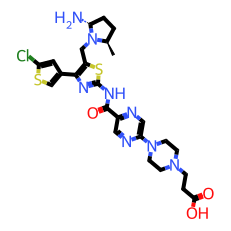 C[C@@H]1CC[C@@H](N)N1Cc1sc(NC(=O)c2cnc(N3CCN(CCC(=O)O)CC3)cn2)nc1-c1csc(Cl)c1